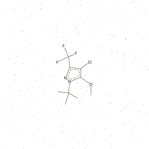 COc1c(Cl)c(C(F)(F)F)nn1C(C)(C)C